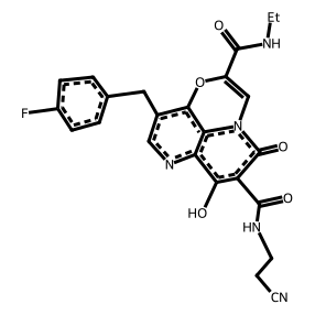 CCNC(=O)C1=Cn2c(=O)c(C(=O)NCCC#N)c(O)c3ncc(Cc4ccc(F)cc4)c(c32)O1